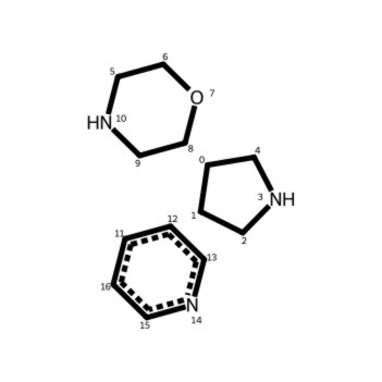 C1CCNC1.C1COCCN1.c1ccncc1